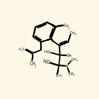 C=C(C)Cc1cccc(C)c1/C(=C\C)C(O)(O)C(C)(O)N(C)C